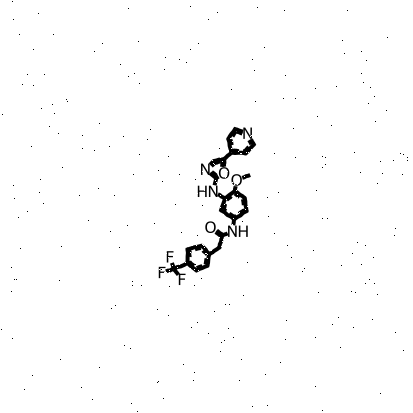 COc1ccc(NC(=O)Cc2ccc(C(F)(F)F)cc2)cc1Nc1ncc(-c2ccncc2)o1